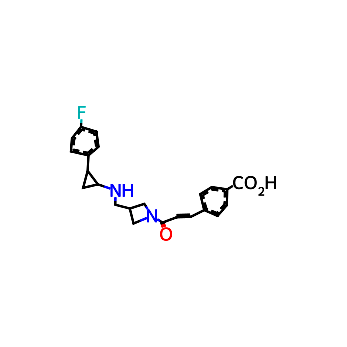 O=C(O)c1ccc(C=CC(=O)N2CC(CNC3CC3c3ccc(F)cc3)C2)cc1